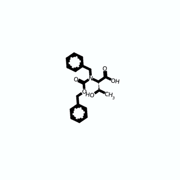 CC(O)[C@@H](C(=O)O)N(Cc1ccccc1)C(=O)OCc1ccccc1